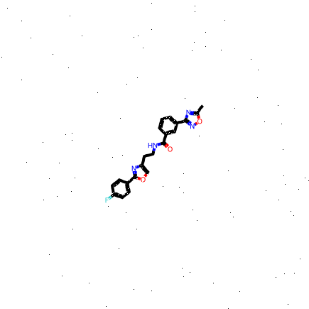 Cc1nc(-c2cccc(C(=O)NCCc3coc(-c4ccc(F)cc4)n3)c2)no1